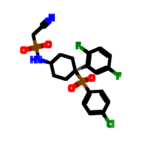 N#CCS(=O)(=O)N[C@H]1CC[C@@](c2cc(F)ccc2F)(S(=O)(=O)c2ccc(Cl)cc2)CC1